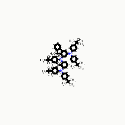 CC(C)(C)c1ccc(N(c2ccc(C(C)(C)C)cc2)c2cc3c(c(N4c5ccc(C(C)(C)C)cc5B5c6cc(C(C)(C)C)ccc6N(c6ccc(C(C)(C)C)cc6)c6cccc4c65)c2)C(C)(C)c2ccccc2-3)cc1